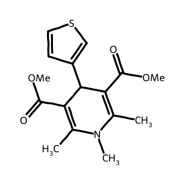 COC(=O)C1=C(C)N(C)C(C)=C(C(=O)OC)C1c1ccsc1